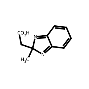 CC1(CC(=O)O)N=c2ccccc2=N1